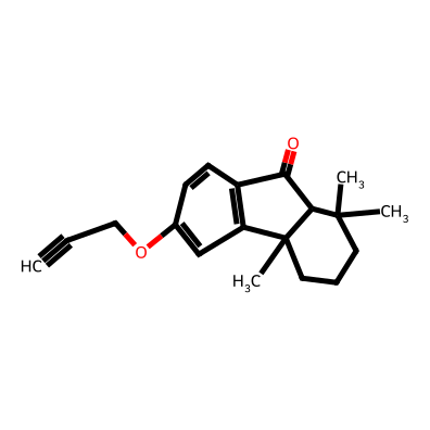 C#CCOc1ccc2c(c1)C1(C)CCCC(C)(C)C1C2=O